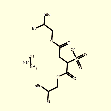 CCCCC(CC)COC(=O)CC(C(=O)OCC(CC)CCCC)S(=O)(=O)[O-].NO.[Na+]